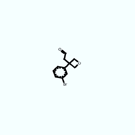 O=CCC1(c2cccc(Br)c2)COC1